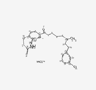 CN(CCCCC(=O)c1ccc2c(c1)NC(=O)CO2)CCc1cccc(Cl)c1.Cl